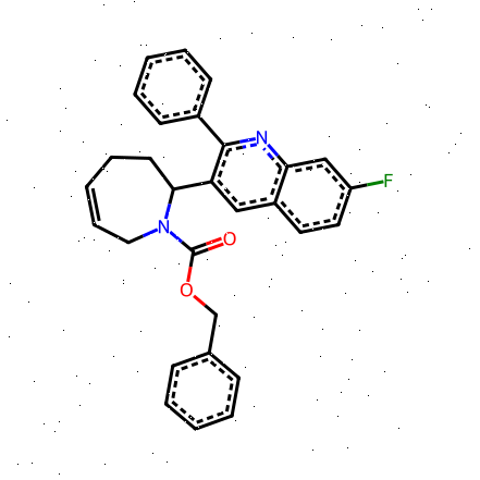 O=C(OCc1ccccc1)N1CC=CCCC1c1cc2ccc(F)cc2nc1-c1ccccc1